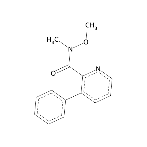 CON(C)C(=O)c1ncccc1-c1ccccc1